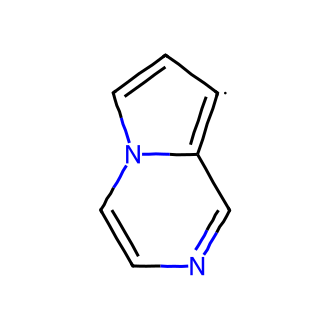 [c]1ccn2ccncc12